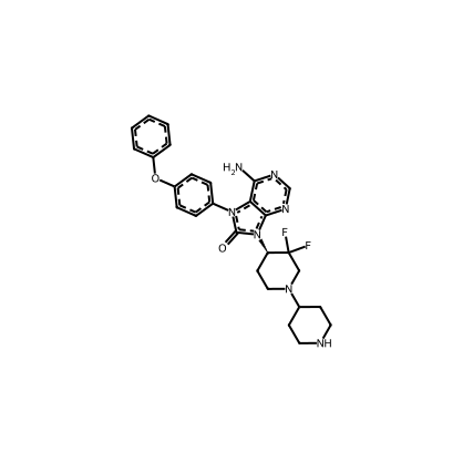 Nc1ncnc2c1n(-c1ccc(Oc3ccccc3)cc1)c(=O)n2[C@@H]1CCN(C2CCNCC2)CC1(F)F